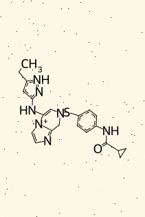 CCc1cc(NC2=CN(Sc3ccc(NC(=O)C4CC4)cc3)CC3=NC=C[N+]23)n[nH]1